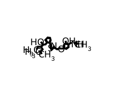 CCNCc1ccc(OCCc2csc(-c3ccccc3CC(O)C(CC)CC(C)C)n2)cc1O